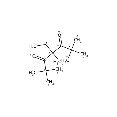 CCC(C)(C(=O)C(C)(C)C)C(=O)C(C)(C)C